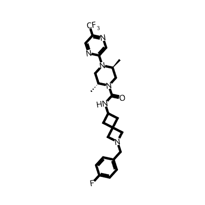 C[C@@H]1CN(c2cnc(C(F)(F)F)cn2)[C@@H](C)CN1C(=O)NC1CC2(C1)CN(Cc1ccc(F)cc1)C2